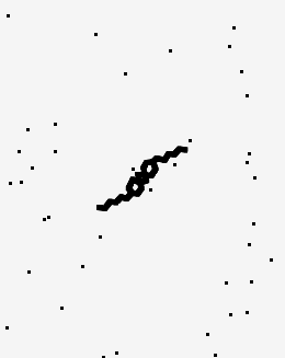 CCCCCCC1CCC2(CC1)CC1(CCC(CCCCCC)CC1)C2